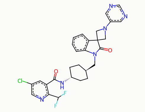 O=C(N[C@H]1CC[C@H](CN2C(=O)C3(CN(c4cncnc4)C3)c3ccccc32)CC1)c1cc(Cl)cnc1C(F)F